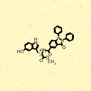 COC(=O)[C@H](Cc1c[nH]c2ccc(O)cc12)NC(=O)c1ccc2c(c1)c(=O)n(-c1ccccc1)n2-c1ccccc1